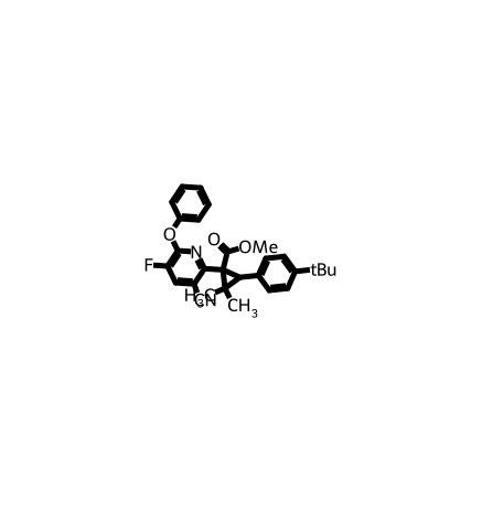 COC(=O)C1(c2nc(Oc3ccccc3)c(F)cc2C#N)C(c2ccc(C(C)(C)C)cc2)C1(C)C